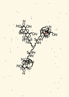 OCC1O[C@@H]2OCCCCC3C(CNC(=S)NCCN(CCNC(=S)NCC4O[C@@H]5OC6C(CO)O[C@H](OCCCCC4[C@H](O)C5O)C(O)[C@H]6O)CCNC(=S)N[C@@H]4OC(CO)[C@@H](O[C@@H]5OC(CO)[C@H](O)[C@H](O)C5O)[C@H](O)C4O)O[C@H](OC1[C@H](O)C2O)C(O)[C@H]3O